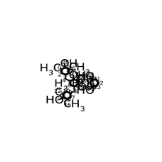 Cc1cc(Cc2cc(Cc3cc(C)c(O)c(C)c3)c(O)c(O)c2O)cc(C)c1O.Oc1cccc(O)c1O